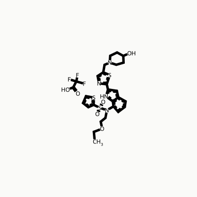 CCOCCN(c1cccc2cc(-c3ncc(CN4CCC(O)CC4)s3)[nH]c12)S(=O)(=O)c1cccs1.O=C(O)C(F)(F)F